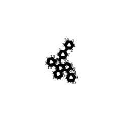 c1ccc(-c2ccc(-n3c4ccccc4c4c5ccccc5c5c(ccc6sc7ccccc7c65)c43)cc2)cc1